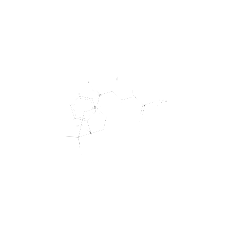 CCC[C@H](CNC(=O)OC)C(=O)N1CCC2(c3ccccc3)C(C1)C2(Cl)Cl